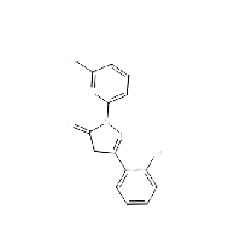 O=C1CC(c2ccccc2O)=NN1c1cccc(Cl)n1